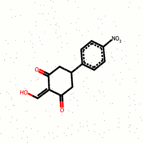 O=C1CC(c2ccc([N+](=O)[O-])cc2)CC(=O)C1=CO